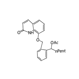 CCCCCC(OC(C)=O)c1ccccc1COc1cccc2ccc(=O)[nH]c12